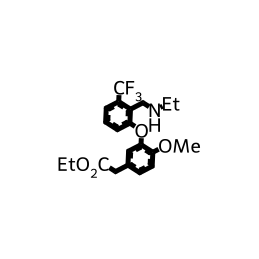 CCNCc1c(Oc2cc(CC(=O)OCC)ccc2OC)cccc1C(F)(F)F